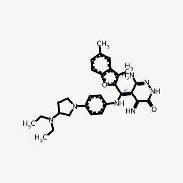 CCN(CC)C1CCN(c2ccc(N/C(=C3\C(=N)C(=O)NN=C3N)c3oc4ccc(C)cc4c3C)cc2)C1